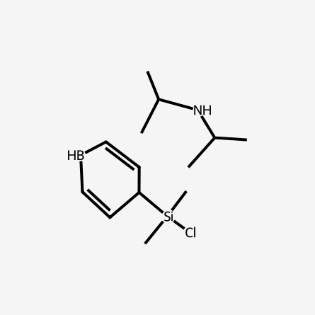 CC(C)NC(C)C.C[Si](C)(Cl)C1C=CBC=C1